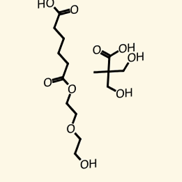 CC(CO)(CO)C(=O)O.O=C(O)CCCCC(=O)OCCOCCO